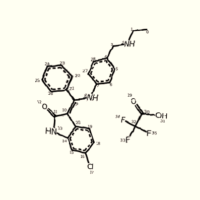 CCNCc1ccc(NC(=C2C(=O)Nc3cc(Cl)ccc32)c2ccccc2)cc1.O=C(O)C(F)(F)F